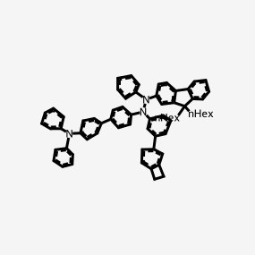 CCCCCCC1(CCCCCC)c2ccccc2-c2ccc(N(c3ccccc3)N(c3ccc(-c4ccc(N(c5ccccc5)c5ccccc5)cc4)cc3)c3cccc(-c4ccc5c(c4)CC5)c3)cc21